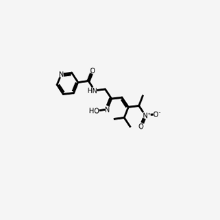 CC(C)C(=CC(CNC(=O)c1cccnc1)=NO)C(C)[N+](=O)[O-]